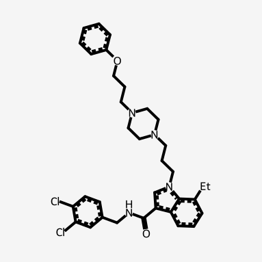 CCc1cccc2c(C(=O)NCc3ccc(Cl)c(Cl)c3)cn(CCCN3CCN(CCCOc4ccccc4)CC3)c12